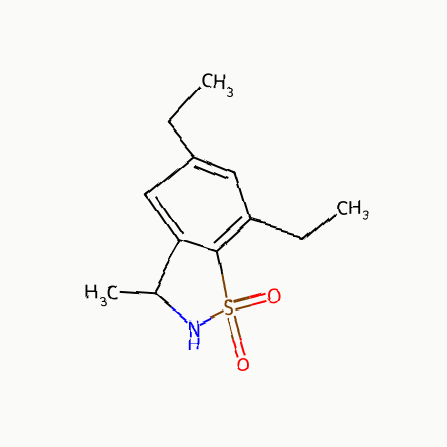 CCc1cc(CC)c2c(c1)C(C)NS2(=O)=O